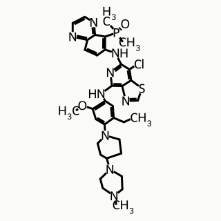 CCc1cc(Nc2nc(Nc3ccc4nccnc4c3P(C)(C)=O)c(Cl)c3scnc23)c(OC)cc1N1CCC(N2CCN(C)CC2)CC1